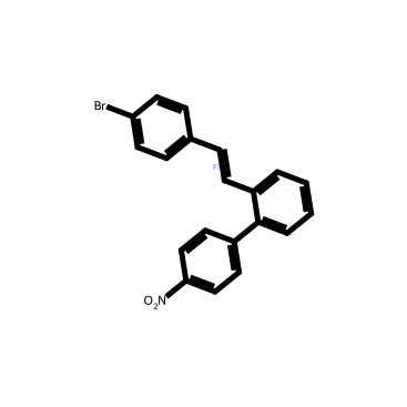 O=[N+]([O-])c1ccc(-c2ccccc2/C=C/c2ccc(Br)cc2)cc1